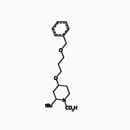 CC(C)(C)C1CC(OCCCOCc2ccccc2)CCN1C(=O)O